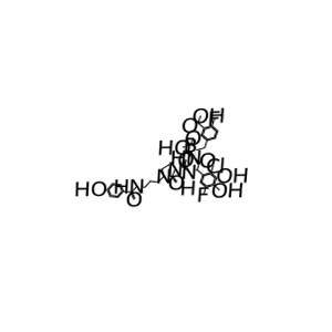 O=C(NCCCN1CCN(C(=O)NC(C(=O)N[C@H]2Cc3ccc(F)c(C(=O)O)c3OB2O)c2cc(F)c(O)c(O)c2Cl)C1=O)c1ccc(O)cc1